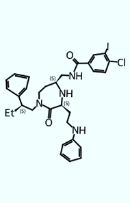 CC[C@H](CN1CC[C@@H](CNC(=O)c2ccc(Cl)c(I)c2)N[C@@H](CCNc2ccccc2)C1=O)c1ccccc1